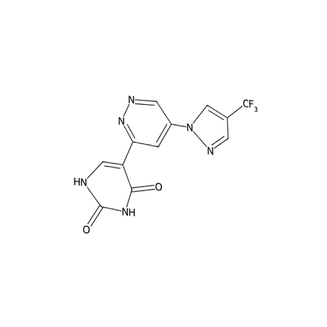 O=c1[nH]cc(-c2cc(-n3cc(C(F)(F)F)cn3)cnn2)c(=O)[nH]1